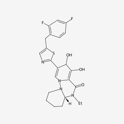 CCN1C(=O)C2=C(O)C(O)C(c3ncc(Cc4ccc(F)cc4F)s3)=CN2N2CCCC[C@@H]12